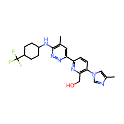 Cc1cn(-c2ccc(-c3cc(C)c(NC4CCC(C(F)(F)F)CC4)nn3)nc2CO)cn1